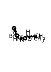 CN(C)C/C=C/C(=O)Nc1ccc2nc(Nc3ccc(OCc4ccccn4)c(Br)c3)sc2c1